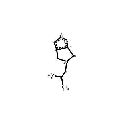 CC(C)CN1Cc2[c]n[nH]c2C1